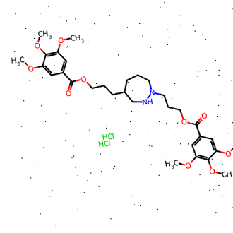 COc1cc(C(=O)OCCCC2CCCN(CCCOC(=O)c3cc(OC)c(OC)c(OC)c3)NC2)cc(OC)c1OC.Cl.Cl